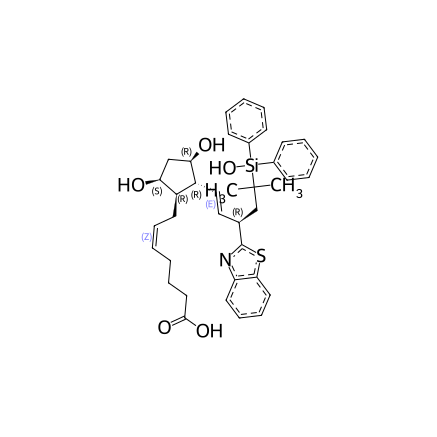 CC(C)(C[C@H](/C=C/[C@@H]1[C@@H](C/C=C\CCCC(=O)O)[C@@H](O)C[C@H]1O)c1nc2ccccc2s1)[Si](O)(c1ccccc1)c1ccccc1